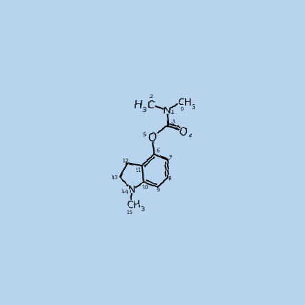 CN(C)C(=O)Oc1cccc2c1CCN2C